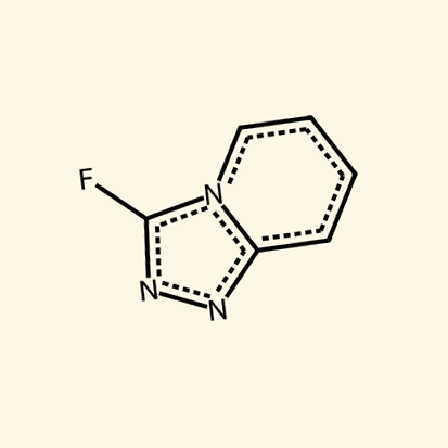 Fc1nnc2ccccn12